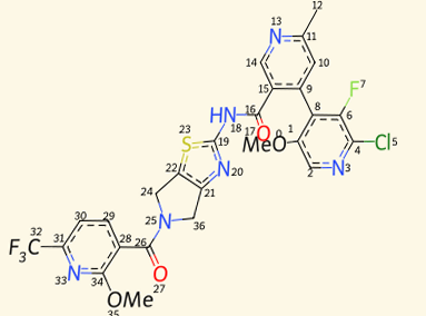 COc1cnc(Cl)c(F)c1-c1cc(C)ncc1C(=O)Nc1nc2c(s1)CN(C(=O)c1ccc(C(F)(F)F)nc1OC)C2